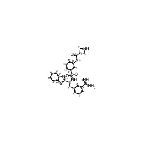 N=C(N)c1cccc(CC(NS(=O)(=O)c2cccc(NC(=O)C3CNC3)c2)c2nc3ccccc3s2)c1